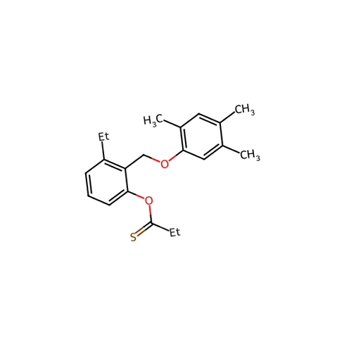 CCC(=S)Oc1cccc(CC)c1COc1cc(C)c(C)cc1C